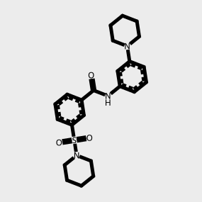 O=C(Nc1cccc(N2CCCCC2)c1)c1cccc(S(=O)(=O)N2CCCCC2)c1